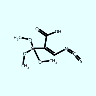 CO[Si](OC)(OC)C(=CN=C=S)C(=O)O